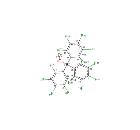 CCO[B-](c1c(F)c(F)c(F)c(F)c1F)(c1c(F)c(F)c(F)c(F)c1F)c1c(F)c(F)c(F)c(F)c1F